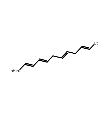 CCC=CCC=CCC=CC=CCCCCCC